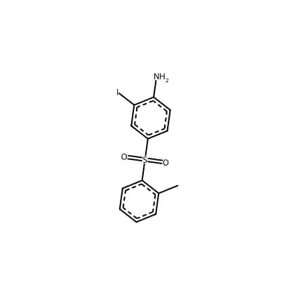 Cc1ccccc1S(=O)(=O)c1ccc(N)c(I)c1